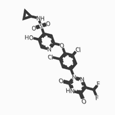 O=c1[nH]c(=O)n(-c2cc(Cl)c(Oc3cc(S(=O)(=O)NC4CC4)c(O)cn3)c(Cl)c2)nc1C(F)F